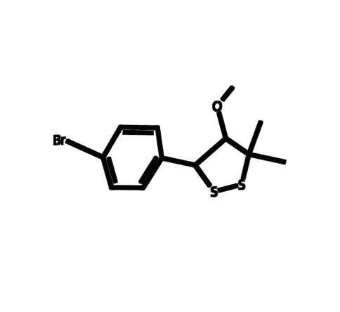 COC1C(c2ccc(Br)cc2)SSC1(C)C